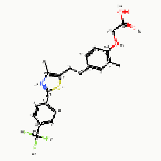 Cc1cc([Se]Cc2sc(-c3ccc(C(F)(F)F)cc3)nc2C)ccc1OCC(=O)O